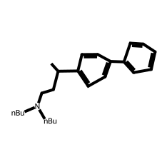 CCCCN(CCCC)CCC(C)c1ccc(-c2ccccc2)cc1